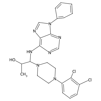 CC(O)C(Nc1ncnc2c1ncn2-c1ccccc1)N1CCN(c2cccc(Cl)c2Cl)CC1